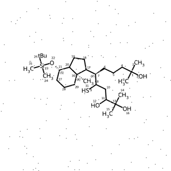 CC(C)(O)CCC[C@@H](C(S)CC(O)C(C)(C)O)C1CCC2[C@@H](O[Si](C)(C)C(C)(C)C)CCC[C@]12C